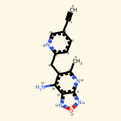 C#Cc1ccc(Cc2c(C)nc3nonc3c2N)nc1